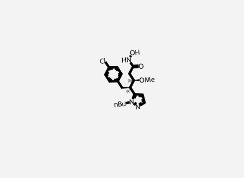 CCCCn1nccc1[C@@H](Cc1ccc(Cl)cc1)[C@@H](CC(=O)NO)OC